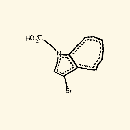 O=C(O)n1cc(Br)c2ccccc21